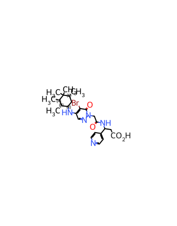 C[C@@H]1[C@@H](C)C(C)(C)[C@@H](C)C[C@H]1Nc1cnn(CC(=O)NC(CC(=O)O)c2ccncc2)c(=O)c1Br